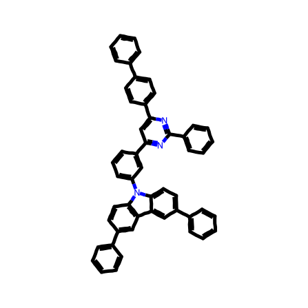 c1ccc(-c2ccc(-c3cc(-c4cccc(-n5c6ccc(-c7ccccc7)cc6c6cc(-c7ccccc7)ccc65)c4)nc(-c4ccccc4)n3)cc2)cc1